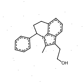 Cc1c(CCO)c2cccc3c2n1C(c1ccccc1)CC3